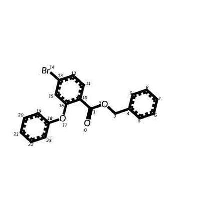 O=C(OCc1ccccc1)c1ccc(Br)cc1Oc1ccccc1